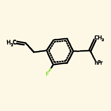 C=CCc1ccc(C(=C)CCC)cc1F